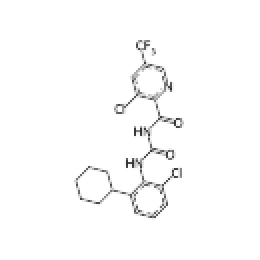 O=C(NC(=O)c1ncc(C(F)(F)F)cc1Cl)Nc1c(Cl)cccc1C1CCCCC1